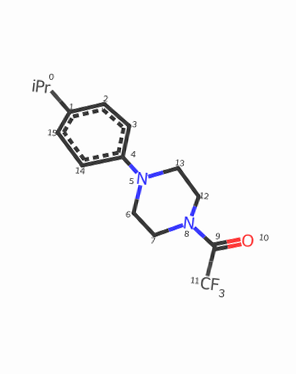 CC(C)c1ccc(N2CCN(C(=O)C(F)(F)F)CC2)cc1